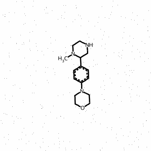 CN1[CH]CNCC1c1ccc(N2CCOCC2)cc1